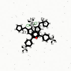 CCC1(CC2=Cc3c(-c4ccc([Si](C)(C)C)cc4)cccc3[CH]2[Zr]([Cl])([Cl])([CH]2C(CC3(CC)CCCC3)=Cc3c(-c4ccc([Si](C)(C)C)cc4)cccc32)[SiH](C)C)CCCC1